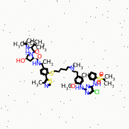 C=C(C)N[C@H](C(=O)N1C[C@H](O)C[C@H]1C(=O)N[C@@H](C)c1ccc(-c2scnc2C)c(SCCCCCN(C)CCc2cc(OC)c(Nc3ncc(Cl)c(Nc4ccccc4S(=O)(=O)C(C)C)n3)cc2C)c1)C(C)(C)C